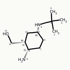 CC(C)(C)N[C@@H]1CC[C@H](N)[C@H](CO)C1